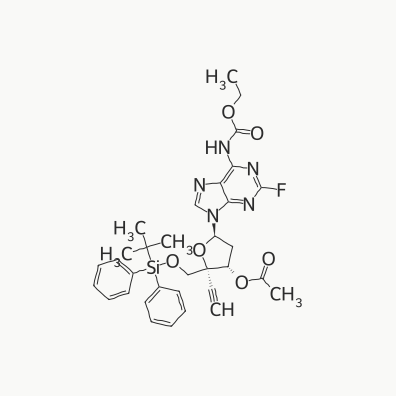 C#C[C@]1(CO[Si](c2ccccc2)(c2ccccc2)C(C)(C)C)O[C@@H](n2cnc3c(NC(=O)OCC)nc(F)nc32)C[C@@H]1OC(C)=O